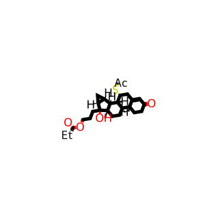 CCC(=O)OCCC[C@]1(O)[C@H]2C[C@H]2[C@H]2[C@@H]3[C@H](SC(C)=O)CC4=CC(=O)CC[C@]4(C)[C@H]3CC[C@@]21C